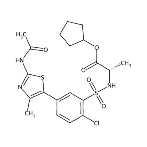 CC(=O)Nc1nc(C)c(-c2ccc(Cl)c(S(=O)(=O)N[C@@H](C)C(=O)OC3CCCC3)c2)s1